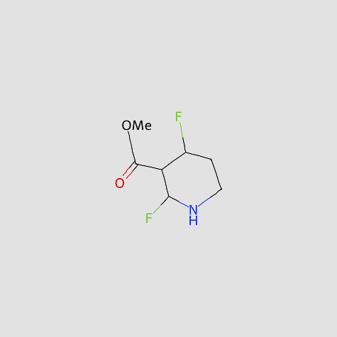 COC(=O)C1C(F)CCNC1F